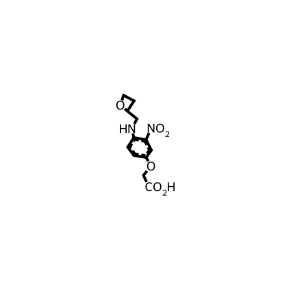 O=C(O)COc1ccc(NCC2CCO2)c([N+](=O)[O-])c1